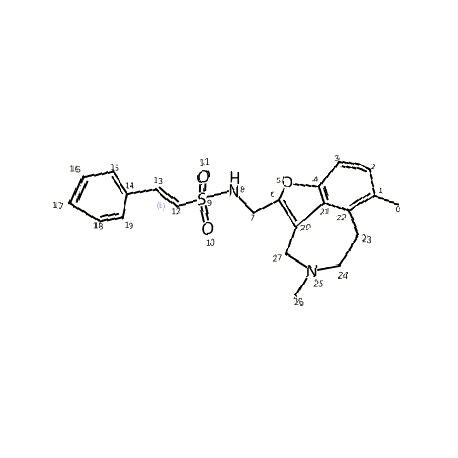 Cc1ccc2oc(CNS(=O)(=O)/C=C/c3ccccc3)c3c2c1CCN(C)C3